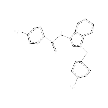 Cc1ccc(C(=O)Nc2cn(Cc3ccc(C(F)(F)F)cc3)c3ccccc23)cc1